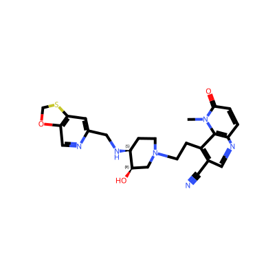 Cn1c(=O)ccc2ncc(C#N)c(CCN3CC[C@H](NCc4cc5c(cn4)OCS5)[C@H](O)C3)c21